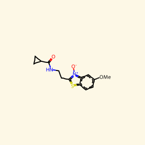 COc1ccc2sc(CCNC(=O)C3CC3)[n+]([O-])c2c1